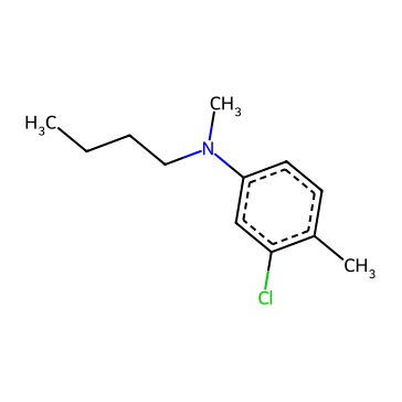 CCCCN(C)c1ccc(C)c(Cl)c1